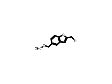 O=COCc1ccc2oc(CBr)cc2c1